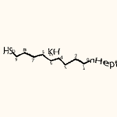 CCCCCCCCCCCCCCCCS.[KH]